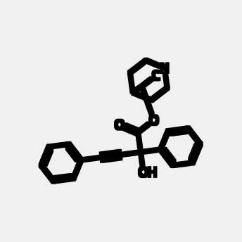 O=C(OC1CN2CCC1CC2)C(O)(C#Cc1ccccc1)c1ccccc1